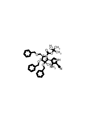 CC(C)(C)OC(=O)N1[C@H](COCc2ccccc2)[C@@H](OCc2ccccc2)[C@@](C)(OCc2ccccc2)[C@@H]1c1c[nH]c(C#N)c1N